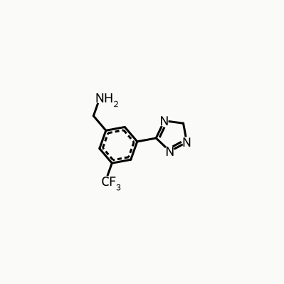 NCc1cc(C2=NCN=N2)cc(C(F)(F)F)c1